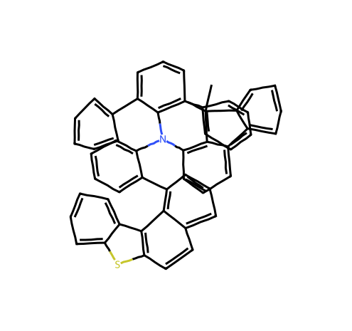 CC1(C)c2ccccc2-c2cccc(N(c3ccccc3-c3cccc4ccc5sc6ccccc6c5c34)c3c(-c4ccccc4)cccc3-c3ccccc3)c21